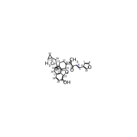 CN(C(=O)/C=C/c1ccoc1)[C@H]1CCC2C3Cc4ccc(O)c5c4[C@]2(CC[C@]3(C)CC2CC2)C1O5